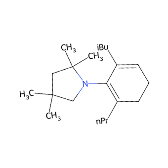 CCCC1=C(N2CC(C)(C)CC2(C)C)C(C(C)CC)=CCC1